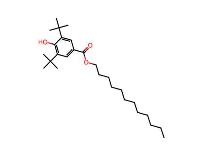 CCCCCCCCCCCCOC(=O)c1cc(C(C)(C)C)c(O)c(C(C)(C)C)c1